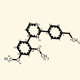 CCc1ccc(-c2nccc(-c3ccc(OC)cc3OC)n2)cc1